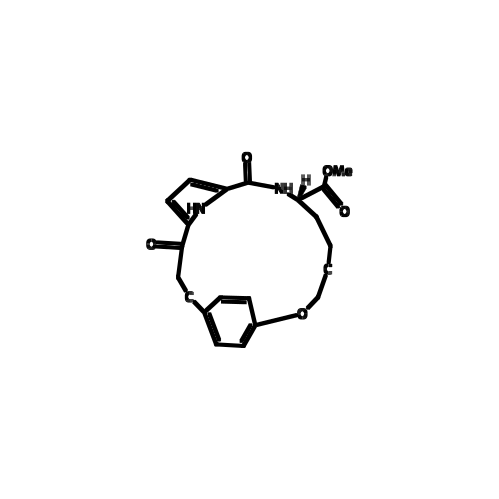 COC(=O)[C@@H]1CCCCOc2ccc(cc2)CCC(=O)c2ccc([nH]2)C(=O)N1